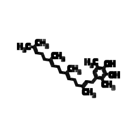 CC(C)=CCC/C(C)=C/CC/C(C)=C/CC/C(C)=C/Cc1cc(C)c(O)c(O)c1C